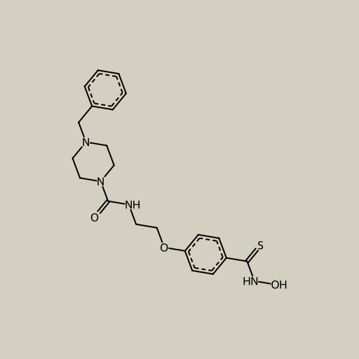 O=C(NCCOc1ccc(C(=S)NO)cc1)N1CCN(Cc2ccccc2)CC1